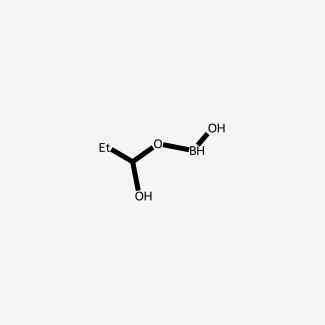 CCC(O)OBO